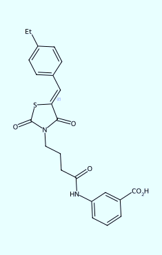 CCc1ccc(/C=C2\SC(=O)N(CCCC(=O)Nc3cccc(C(=O)O)c3)C2=O)cc1